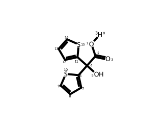 [3H]OC(=O)C(O)(c1cccs1)c1cccs1